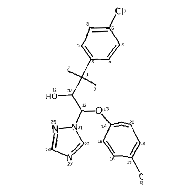 CC(C)(c1ccc(Cl)cc1)C(O)C(Oc1ccc(Cl)cc1)n1cncn1